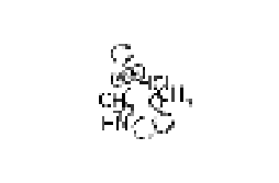 CCC(CCCS(=O)(=O)c1ccccc1)NC1CCc2cccc(OC)c2C1.Cl